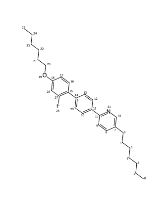 CCCCCCCc1ccc(-c2ccc(-c3ccc(OCCCCCC)cc3F)cc2)nc1